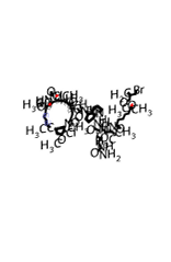 C=C(CBr)C(=O)OC(C)(C)CCCCC(=O)N[C@H](C(=O)N[C@@H](CCCNC(N)=O)C(=O)Nc1ccc(NC(=O)O[C@H]2CC(=O)N(C)c3cc(cc(OC)c3Cl)C/C(C)=C/C=C/[C@@H](OC)[C@@]3(O)C[C@H](OC(=O)N3)[C@@H](C)[C@@H]3O[C@@]23C)c2cccnc12)C(C)C